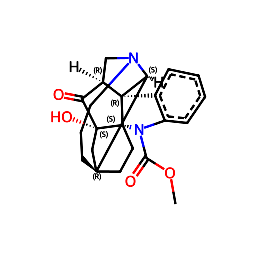 COC(=O)N1c2ccccc2[C@@]23[C@@H]4CN5CCC[C@]6(CC[C@]12[C@@](O)(C6)C4=O)[C@H]53